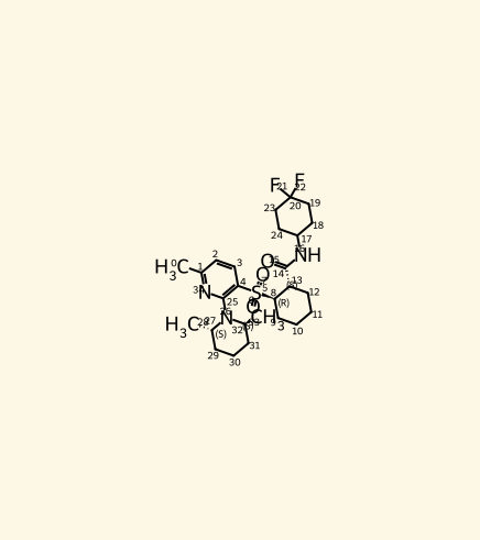 Cc1ccc(S(=O)(=O)[C@@H]2CCCC[C@H]2C(=O)NC2CCC(F)(F)CC2)c(N2[C@@H](C)CCC[C@@H]2C)n1